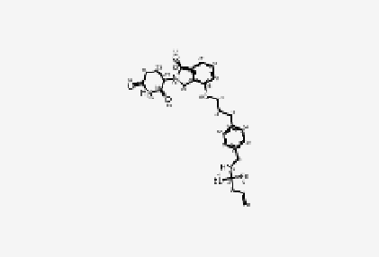 C=CCC(CC)(CC)NCc1ccc(CCCSc2cccc3c2CN(C2CCC(=O)NC2=O)C3=O)cc1